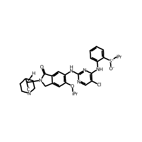 CC(C)Oc1cc2c(cc1Nc1ncc(Cl)c(Nc3ccccc3[S+]([O-])C(C)C)n1)C(=O)N([C@@H]1CN3CCC1CC3)C2